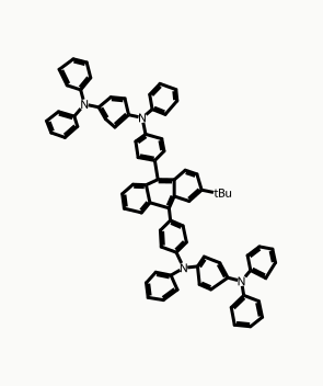 CC(C)(C)c1ccc2c(-c3ccc(N(c4ccccc4)c4ccc(N(c5ccccc5)c5ccccc5)cc4)cc3)c3ccccc3c(-c3ccc(N(c4ccccc4)c4ccc(N(c5ccccc5)c5ccccc5)cc4)cc3)c2c1